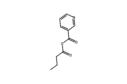 [CH2]CCC(=O)OC(=O)c1cccnc1